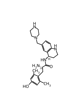 Cc1cc(O)cc(C)c1C[C@H](N)C(=O)N[C@@H]1CCNc2ccc(CN3CCNCC3)cc21